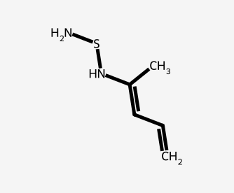 C=C/C=C(\C)NSN